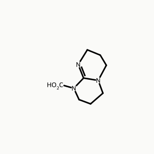 O=C(O)N1CCCN2CCCN=C21